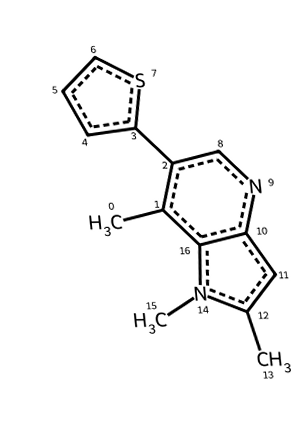 Cc1c(-c2cccs2)cnc2cc(C)n(C)c12